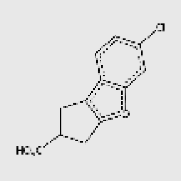 O=C(O)C1Cc2oc3cc(Cl)ccc3c2C1